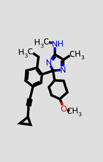 CCc1ccc(C#CC2CC2)cc1C1(C2CCC(OC)CC2)N=C(C)C(NC)=N1